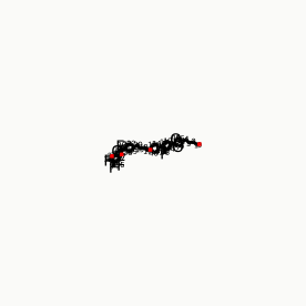 CCCCCC1COC(c2ccc(C3CCC(/C=C/CCC4CCC(C(F)(F)Oc5cc(F)c(F)c(F)c5)CC4)CC3)c(F)c2)OC1